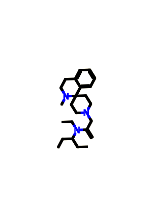 C=C(CN1CCC2(CC1)c1ccccc1CCN2C)N(CC)C(CC)CC